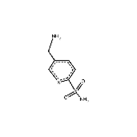 NCc1ccc(S(N)(=O)=O)nc1